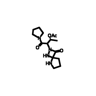 CC(=O)O[C@H](C)C(C(=O)N1CCCC1)N1NC2(CCCN2)C1=O